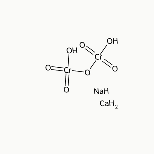 [CaH2].[NaH].[O]=[Cr](=[O])([OH])[O][Cr](=[O])(=[O])[OH]